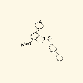 COc1ccc(N2CCN(C)CC2)c2c1CCN(C(=O)c1ccc(-c3ccccc3)cc1)C2